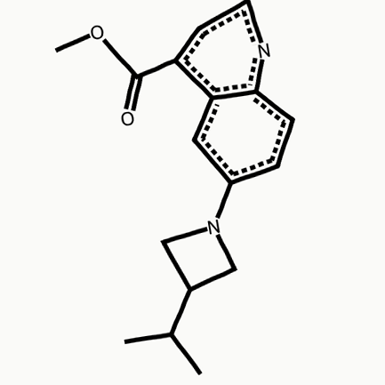 COC(=O)c1ccnc2ccc(N3CC(C(C)C)C3)cc12